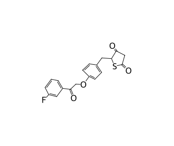 O=C1CC(=O)C(Cc2ccc(OCC(=O)c3cccc(F)c3)cc2)S1